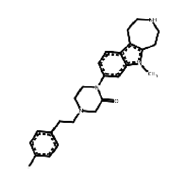 Cn1c2c(c3ccc(N4CCN(CCc5ccc(I)cc5)CC4=O)cc31)CCNCC2